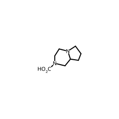 O=C(O)N1CCN2CCCC2C1